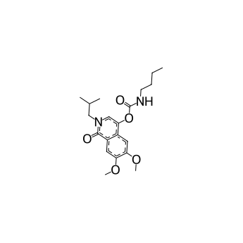 CCCCNC(=O)Oc1cn(CC(C)C)c(=O)c2cc(OC)c(OC)cc12